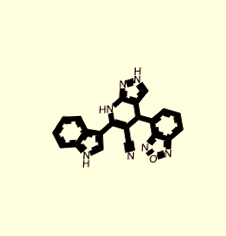 N#CC1=C(c2c[nH]c3ccccc23)Nc2n[nH]cc2C1c1cccc2nonc12